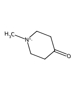 C[N+]1CCC(=O)CC1